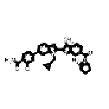 Cc1c(-c2cc3ccc(-c4ccc(C(N)=O)c(Cl)c4)cc3n2CC2CC2)oc2cc(C(=O)N3CC4CCC3C4C)ccc12